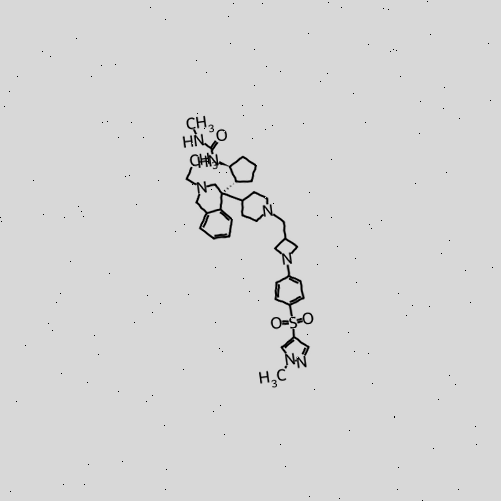 CCN1Cc2ccccc2C(C2CCN(CC3CN(c4ccc(S(=O)(=O)c5cnn(C)c5)cc4)C3)CC2)([C@H]2CCC[C@@H]2NC(=O)NC)C1